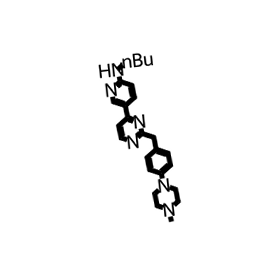 CCCCNc1ccc(-c2ccnc(Cc3ccc(N4CCN(C)CC4)cc3)n2)cn1